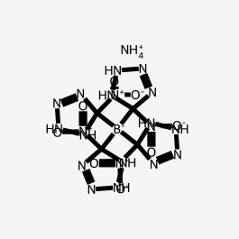 O=[N+]([O-])C1([B-](C2([N+](=O)[O-])N=NNN2)(C2([N+](=O)[O-])N=NNN2)C2([N+](=O)[O-])N=NNN2)N=NNN1.[NH4+]